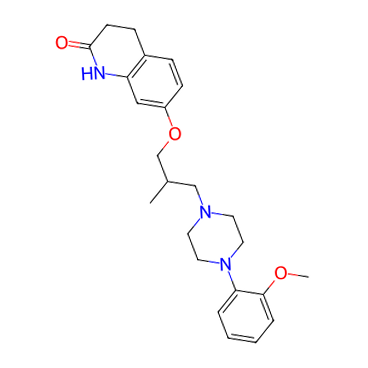 COc1ccccc1N1CCN(CC(C)COc2ccc3c(c2)NC(=O)CC3)CC1